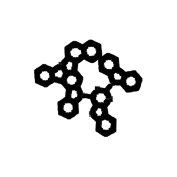 c1ccc2c(c1)ccc1c2c2cc3c(c4ccccc4n3-c3nc(-n4c5ccccc5c5ccccc54)nc4c3sc3ccccc34)c3c4ccccc4n1c23